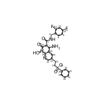 Nc1c(C(=O)NCc2ccc(F)cc2F)c(=O)n(O)c2ncc(CCS(=O)(=O)c3ccccc3)cc12